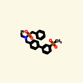 CC(C)CN(Cc1ccc(-c2cccc(S(C)(=O)=O)c2)cc1)S(=O)(=O)Cc1ccccc1